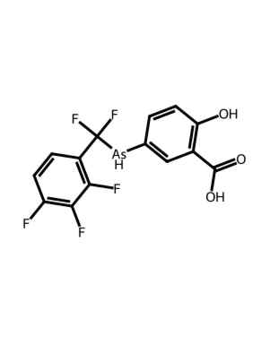 O=C(O)c1cc([AsH]C(F)(F)c2ccc(F)c(F)c2F)ccc1O